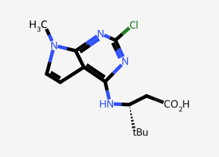 Cn1ccc2c(N[C@H](CC(=O)O)C(C)(C)C)nc(Cl)nc21